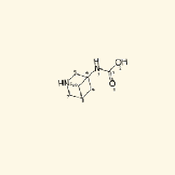 O=C(O)NC12CNCC(C1)C2